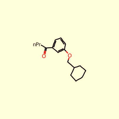 CCCC(=O)c1cccc(OCC2CCCCC2)c1